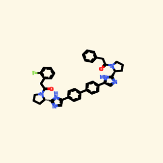 O=C(Cc1ccccc1)N1CCC[C@H]1c1ncc(-c2ccc(-c3ccc(-c4cnc([C@@H]5CCCN5C(=O)Cc5ccccc5F)[nH]4)cc3)cc2)[nH]1